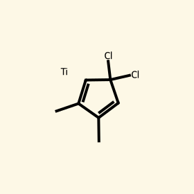 CC1=CC(Cl)(Cl)C=C1C.[Ti]